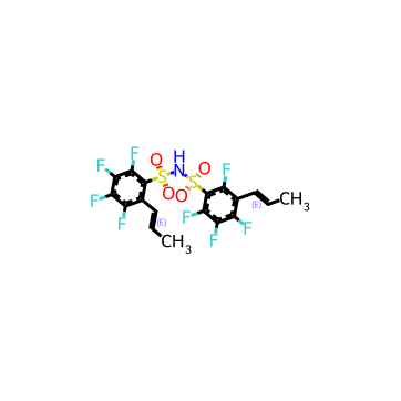 C/C=C/c1c(F)c(F)c(F)c(S(=O)(=O)NS(=O)(=O)c2c(F)c(F)c(F)c(F)c2/C=C/C)c1F